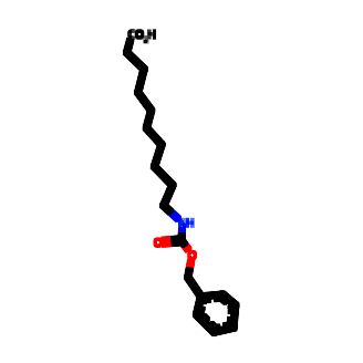 O=C(O)CCCCCCCCCNC(=O)OCc1ccccc1